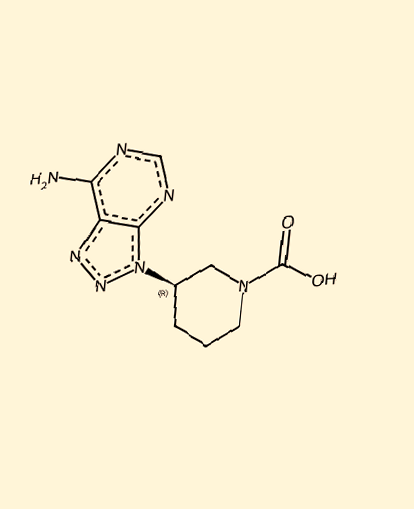 Nc1ncnc2c1nnn2[C@@H]1CCCN(C(=O)O)C1